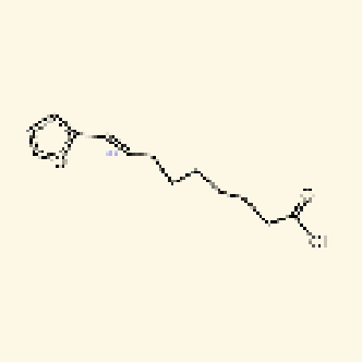 O=C(O)CCCCCC/C=C/c1ccco1